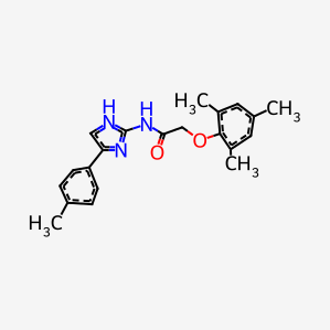 Cc1ccc(-c2c[nH]c(NC(=O)COc3c(C)cc(C)cc3C)n2)cc1